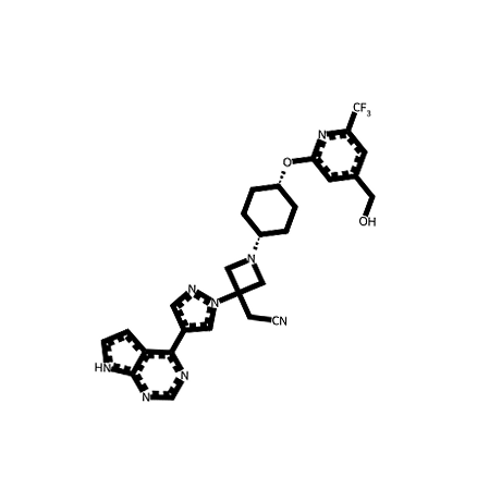 N#CCC1(n2cc(-c3ncnc4[nH]ccc34)cn2)CN([C@H]2CC[C@@H](Oc3cc(CO)cc(C(F)(F)F)n3)CC2)C1